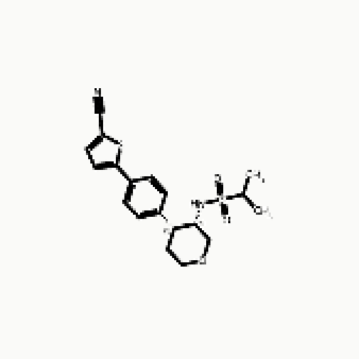 CC(C)S(=O)(=O)N[C@@H]1COCC[C@@H]1c1ccc(-c2ccc(C#N)s2)cc1